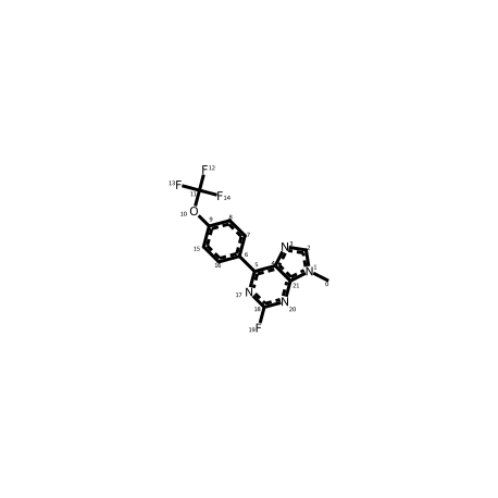 Cn1cnc2c(-c3ccc(OC(F)(F)F)cc3)nc(F)nc21